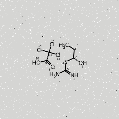 CCC(O)SC(=N)N.O=C(O)C(Cl)(Cl)Cl